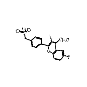 O=CC1C(I)=C(c2ccc(C[SH](=O)=O)cc2)Oc2ccc(F)cc21